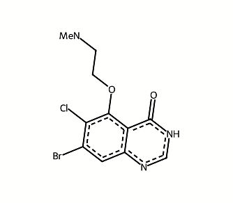 CNCCOc1c(Cl)c(Br)cc2nc[nH]c(=O)c12